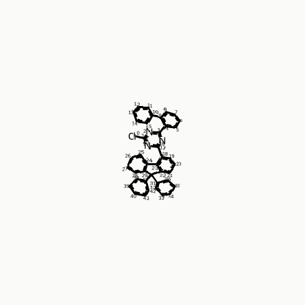 Clc1nc(-c2ccccc2-c2ccccc2)nc(-c2cccc3c2-c2ccccc2C3(c2ccccc2)c2ccccc2)n1